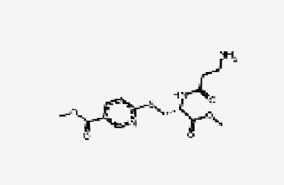 COC(=O)c1ccc(SC[C@H](NC(=O)CCN)C(=O)OC)nc1